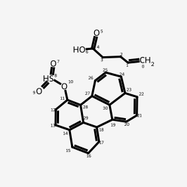 C=CCCC(=O)O.O=[SH](=O)Oc1ccc2cccc3c4cccc5cccc(c1c23)c54